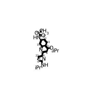 CC(C)Nc1nc(-c2cc(OC(C)C)c3ccc(NS(C)(=O)=O)cc3n2)cs1